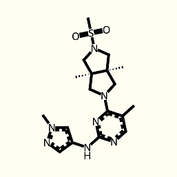 Cc1cnc(Nc2cnn(C)c2)nc1N1C[C@@]2(C)CN(S(C)(=O)=O)C[C@@]2(C)C1